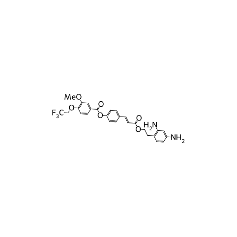 COc1cc(C(=O)Oc2ccc(/C=C/C(=O)OCCc3ccc(N)cc3N)cc2)ccc1OCC(F)(F)F